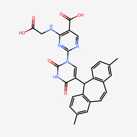 Cc1ccc2c(c1)C=Cc1cc(C)ccc1C2c1cn(-c2ncc(C(=O)O)c(NCC(=O)O)n2)c(=O)[nH]c1=O